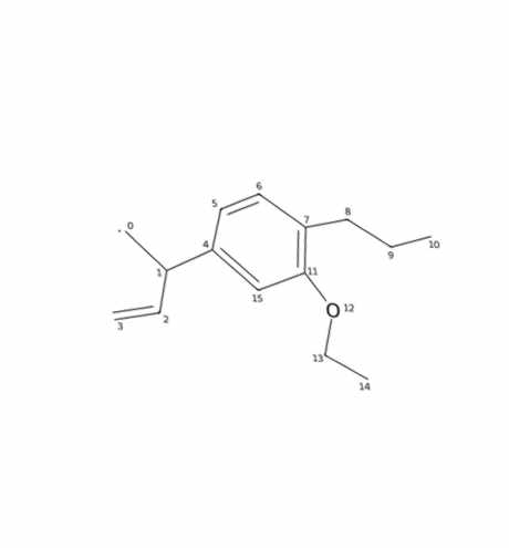 [CH2]C(C=C)c1ccc(CCC)c(OCC)c1